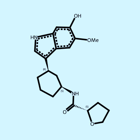 COc1cc2c([C@@H]3CCC[C@H](NC(=O)[C@@H]4CCCO4)C3)c[nH]c2cc1O